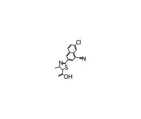 C=C(O)C1SC(c2cc(C#N)c3cc(Cl)ccc3c2)=NC1C